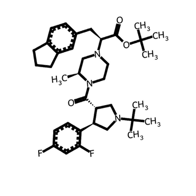 C[C@H]1CN([C@@H](Cc2ccc3c(c2)CCC3)C(=O)OC(C)(C)C)CCN1C(=O)[C@@H]1CN(C(C)(C)C)C[C@H]1c1ccc(F)cc1F